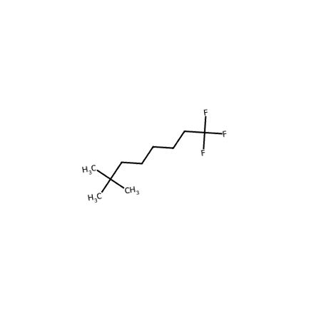 CC(C)(C)CCCCCC(F)(F)F